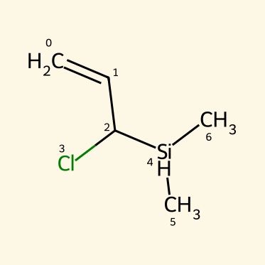 C=CC(Cl)[SiH](C)C